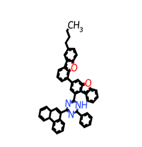 CCCCc1ccc2oc3c(-c4cc(C5=NC(C6=CC7C=CC=CC7c7ccccc76)=NC(c6ccccc6)N5)c5c(c4)oc4ccccc45)cccc3c2c1